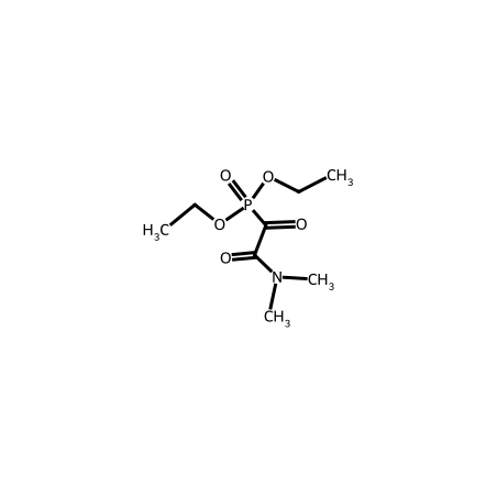 CCOP(=O)(OCC)C(=O)C(=O)N(C)C